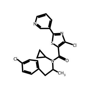 CC(Cc1ccc(Cl)cc1)N(C(=O)c1sc(-c2cccnc2)nc1Cl)C1CC1